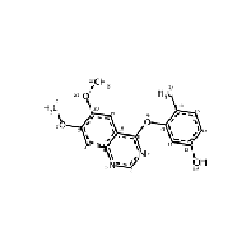 COc1cc2ncnc(Oc3cc(O)ccc3C)c2cc1OC